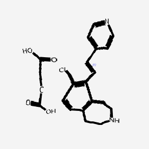 Clc1ccc2c(c1/C=C/c1ccncc1)CCNCC2.O=C(O)CCC(=O)O